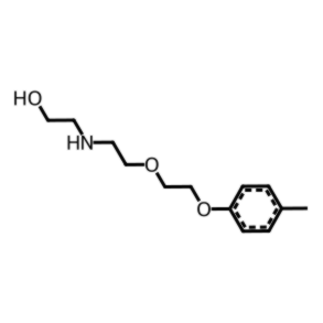 Cc1ccc(OCCOCCNCCO)cc1